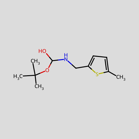 Cc1ccc(CNC(O)OC(C)(C)C)s1